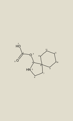 O=C(O)OC1NCCC12CCCCC2